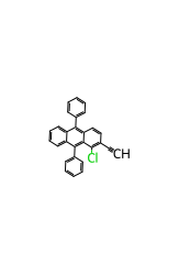 C#Cc1ccc2c(-c3ccccc3)c3ccccc3c(-c3ccccc3)c2c1Cl